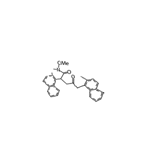 CON(C)C(=O)C(CC(=O)Cc1c(C)ccc2ccccc12)c1c(C)ccc2ccccc12